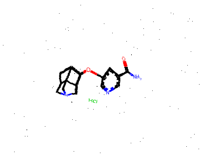 Cl.NC(=O)c1cncc(OC2C3CC4CC2CN(C4)C3)c1